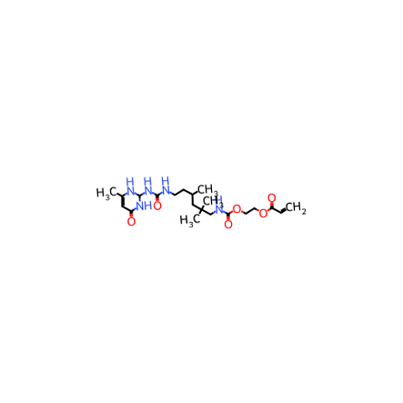 C=CC(=O)OCCOC(=O)NCC(C)(C)CC(C)CCNC(=O)NC1NC(=O)C=C(C)N1